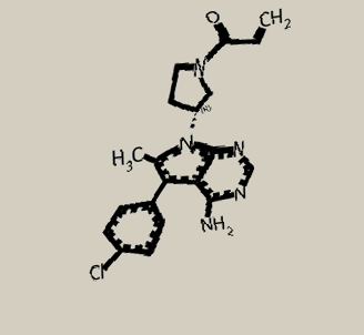 C=CC(=O)N1CC[C@@H](n2c(C)c(-c3ccc(Cl)cc3)c3c(N)ncnc32)C1